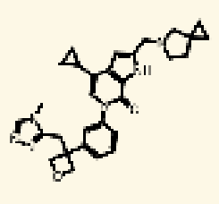 Cn1cnnc1CC1(c2cccc(-n3cc(C4CC4)c4cc(CN5CCC6(CC6)C5)[nH]c4c3=O)c2)COC1